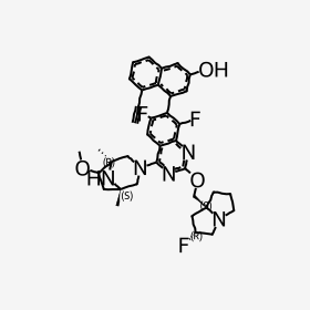 C#Cc1cccc2cc(O)cc(-c3c(F)cc4c(N5C[C@]6(C)CC(OC)[C@@](C)(C5)N6)nc(OC[C@@]56CCCN5C[C@H](F)C6)nc4c3F)c12